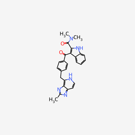 Cc1nc2cc[nH]c(Cc3ccc(C(=O)c4c(C(=O)N(C)C)[nH]c5ccccc45)cc3)c-2n1